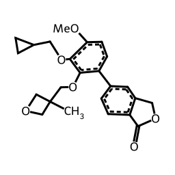 COc1ccc(-c2ccc3c(c2)COC3=O)c(OCC2(C)COC2)c1OCC1CC1